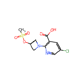 CS(=O)(=O)OC1CN(c2ncc(Cl)cc2C(=O)O)C1